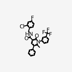 Cc1c(-c2ccccc2)cc(C(=O)NCc2ccc(F)cc2Cl)c(=O)n1-c1cccc(C(F)(F)F)c1